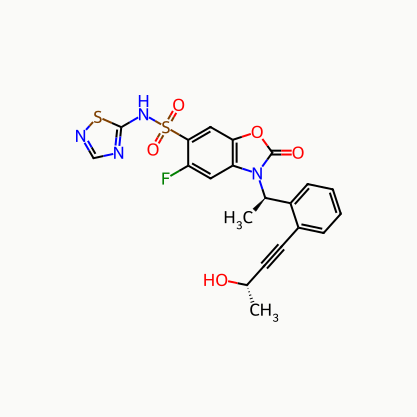 C[C@H](O)C#Cc1ccccc1[C@@H](C)n1c(=O)oc2cc(S(=O)(=O)Nc3ncns3)c(F)cc21